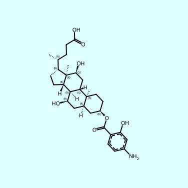 C[C@H](CCC(=O)O)[C@H]1CC[C@H]2[C@@H]3[C@H](O)C[C@@H]4C[C@H](OC(=O)c5ccc(N)cc5O)CC[C@]4(C)[C@H]3C[C@H](O)[C@]12C